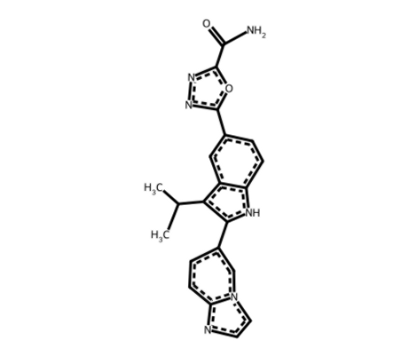 CC(C)c1c(-c2ccc3nccn3c2)[nH]c2ccc(-c3nnc(C(N)=O)o3)cc12